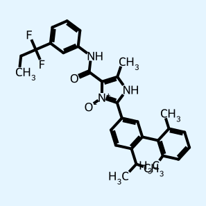 CCC(F)(F)c1cccc(NC(=O)c2c(C)[nH]c(-c3ccc(C(C)C)c(-c4c(C)cccc4C)c3)[n+]2[O-])c1